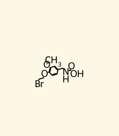 COc1cc(CNC(=O)O)ccc1OCCBr